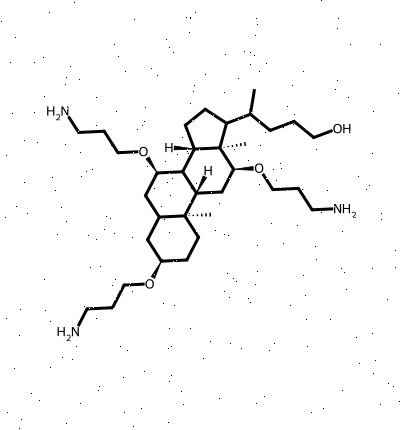 CC(CCCO)C1CC[C@H]2C3[C@H](OCCCN)CC4C[C@H](OCCCN)CC[C@]4(C)[C@H]3C[C@H](OCCCN)[C@]12C